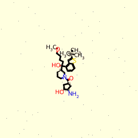 COCCCC[C@@](O)(c1cccc2sc([Si](C)(C)C)cc12)[C@@H]1CCCN(C(=O)[C@H]2C[C@@H](N)[C@@H](O)C2)C1